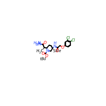 CS[C@@]1(NC(=O)COc2ccc(Cl)c(Cl)c2)CCC([C@@H](C)C(=O)NN)N(C(=O)OC(C)(C)C)C1